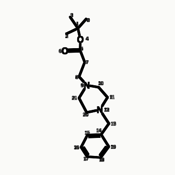 CC(C)(C)OC(=O)CCN1CCN(Cc2ccccc2)CC1